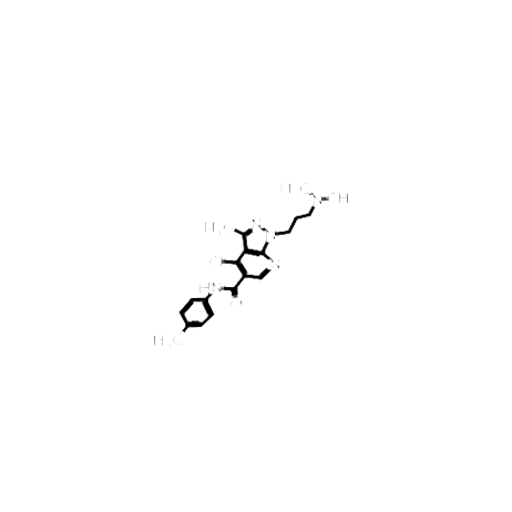 Cc1ccc(NC(=O)c2cnc3c(c(C)nn3CCCN(C)C)c2Cl)cc1